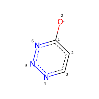 [O]c1ccnnn1